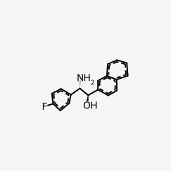 N[C@@H](c1ccc(F)cc1)[C@H](O)c1ccc2ccccc2c1